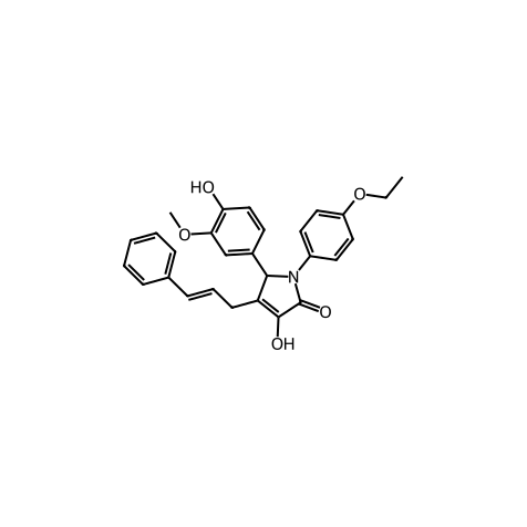 CCOc1ccc(N2C(=O)C(O)=C(C/C=C/c3ccccc3)C2c2ccc(O)c(OC)c2)cc1